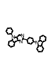 c1ccc(-n2c3ccccc3c3nc(-c4ccc(-n5c6ccccc6c6ccccc65)cc4)ncc32)cc1